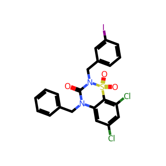 O=C1N(Cc2ccccc2)c2cc(Cl)cc(Cl)c2S(=O)(=O)N1Cc1cccc(I)c1